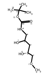 COC[C@H](O)CC(O)CNC(=O)OC(C)(C)C